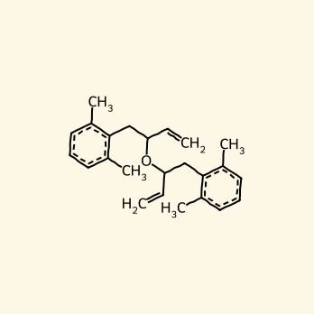 C=CC(Cc1c(C)cccc1C)OC(C=C)Cc1c(C)cccc1C